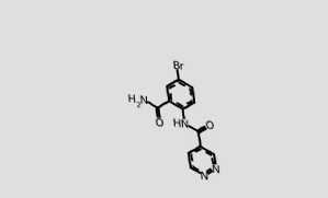 NC(=O)c1cc(Br)ccc1NC(=O)c1ccnnc1